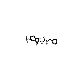 Cc1ccccc1CNC(=O)On1[nH]c2ccc([N+](=O)[O-])cc2c1=O